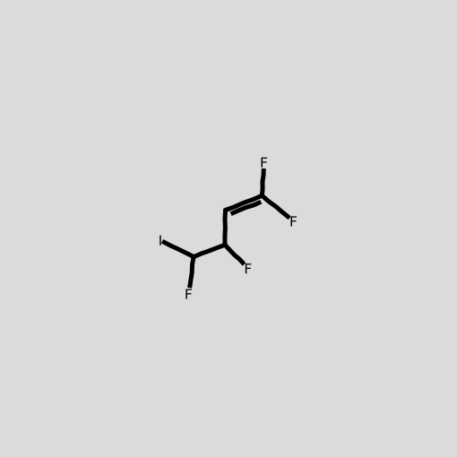 FC(F)=CC(F)C(F)I